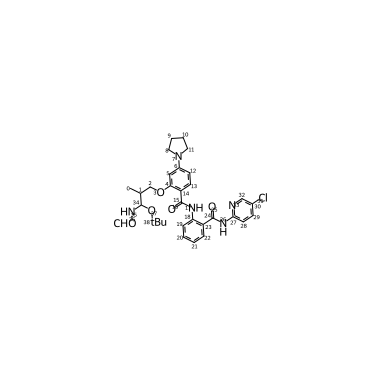 CC(COc1cc(N2CCCC2)ccc1C(=O)Nc1ccccc1C(=O)Nc1ccc(Cl)cn1)C(NC=O)OC(C)(C)C